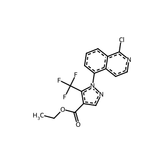 CCOC(=O)c1cnn(-c2cccc3c(Cl)nccc23)c1C(F)(F)F